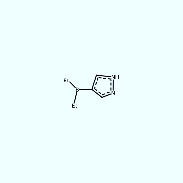 CCB(CC)c1cn[nH]c1